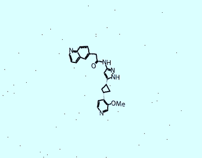 COc1cnccc1[C@H]1C[C@@H](c2cc(NC(=O)Cc3ccc4ncccc4c3)n[nH]2)C1